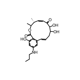 CCCNc1cc(O)c2c(c1)/C=C/CC(O)C(O)C(=O)/C=C\[C@@H](C)C(C)OC2=O